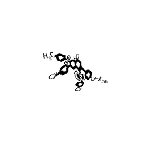 Cc1ccc(C2CC(=O)[C@@H]3CC(S(=O)(=O)c4ccc(C)cc4)C(c4ccc(Cl)cc4)CC3C2S(=O)(=O)c2ccc(Cl)cc2)cc1